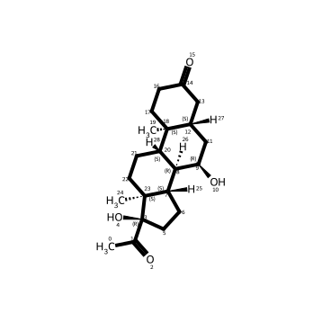 CC(=O)[C@@]1(O)CC[C@H]2[C@@H]3[C@H](O)C[C@H]4CC(=O)CC[C@]4(C)[C@H]3CC[C@@]21C